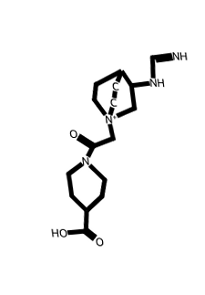 N=CNC1C[N+]2(CC(=O)N3CCC(C(=O)O)CC3)CCC1CC2